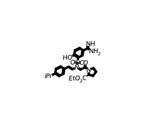 CCOC(=O)[C@@H]1CCCN1C(=O)CN(CCc1ccc(C(C)C)cc1)S(=O)(=O)c1cc(C(=N)N)ccc1O